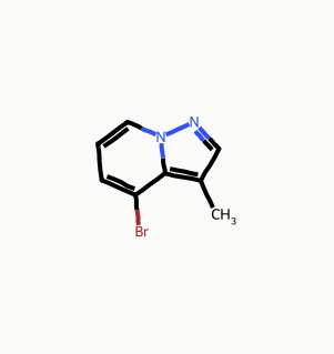 Cc1cnn2cccc(Br)c12